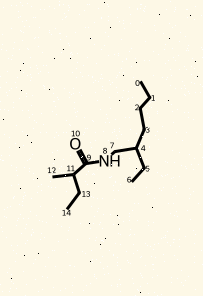 CCCCC(CC)CNC(=O)C(C)CC